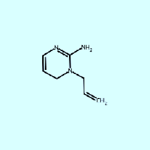 C=CCN1CC=CN=C1N